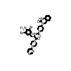 Nc1c(Br)cc(C[C@@H](NC(=O)N2CCC(N3Cc4ccccc4NC3=O)CC2)C(=O)N2CCN(c3ccncn3)CC2)cc1Br